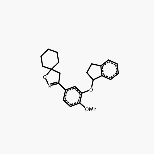 COc1ccc(C2=NOC3(CCCCC3)C2)cc1OC1CCc2ccccc21